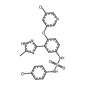 Cc1nc(-c2cc(NS(=O)(=O)Nc3ccc(Cl)cc3)ccc2Oc2cncc(Cl)c2)n[nH]1